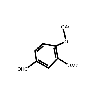 COc1cc(C=O)ccc1OOC(C)=O